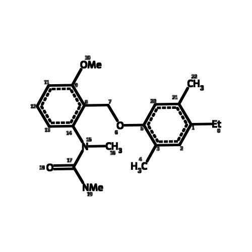 CCc1cc(C)c(OCc2c(OC)cccc2N(C)C(=O)NC)cc1C